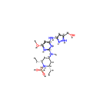 CC[C@@H]1C[C@@H](N(C)c2nc(Nc3cc(CO)[nH]n3)cc(OC)n2)C[C@H](CC)N1[SH](=O)=O